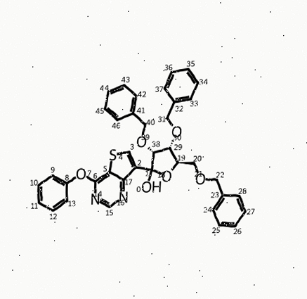 OC1(c2csc3c(Oc4ccccc4)ncnc23)O[C@H](COCc2ccccc2)[C@@H](OCc2ccccc2)[C@H]1OCc1ccccc1